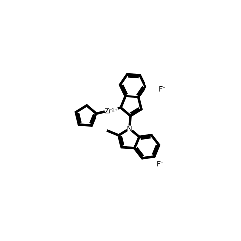 Cc1cc2ccccc2n1C1=Cc2ccccc2[CH]1[Zr+2][C]1=CC=CC1.[F-].[F-]